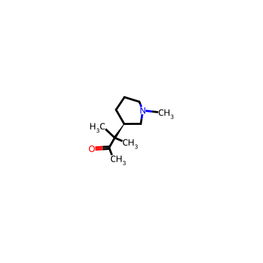 CC(=O)C(C)(C)[C@H]1CCCN(C)C1